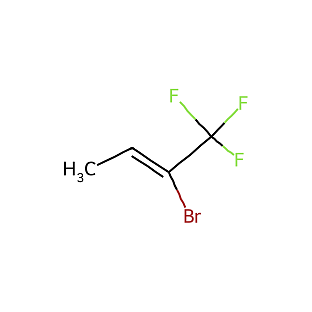 CC=C(Br)C(F)(F)F